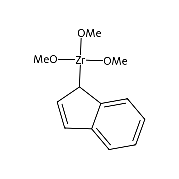 C[O][Zr]([O]C)([O]C)[CH]1C=Cc2ccccc21